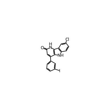 O=c1cc(-c2cccc(I)c2)c2[nH]c3ccc(Cl)cc3c2[nH]1